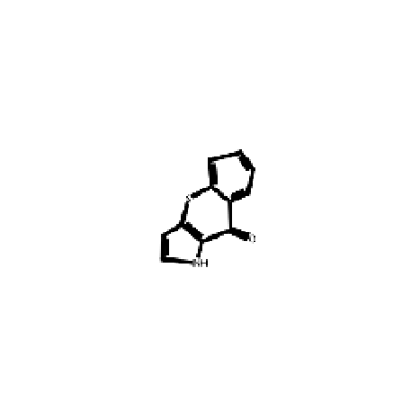 O=c1c2ccccc2sc2cc[nH]c12